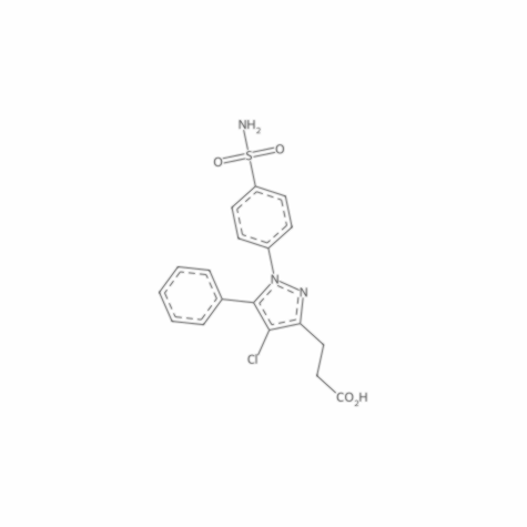 NS(=O)(=O)c1ccc(-n2nc(CCC(=O)O)c(Cl)c2-c2ccccc2)cc1